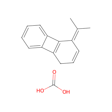 CC(C)=C1C=CCC2=C1c1ccccc12.O=C(O)O